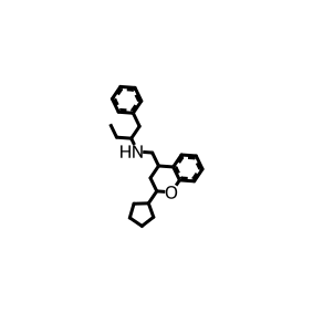 CCC(Cc1ccccc1)NCC1CC(C2CCCC2)Oc2ccccc21